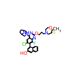 C[C@@]12OCCN(CCCOc3nc(N4CC5CCC(C4)N5)c4cc(Cl)c(-c5cc(O)cc6ccccc56)c(F)c4n3)CC1S2